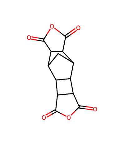 O=C1OC(=O)C2C3CC(C12)C1C2C(=O)OC(=O)C2C31